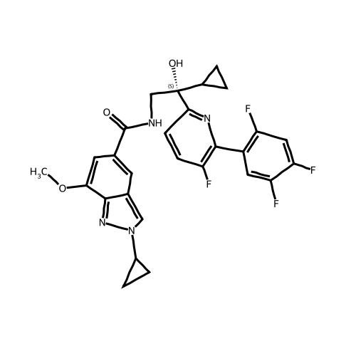 COc1cc(C(=O)NC[C@](O)(c2ccc(F)c(-c3cc(F)c(F)cc3F)n2)C2CC2)cc2cn(C3CC3)nc12